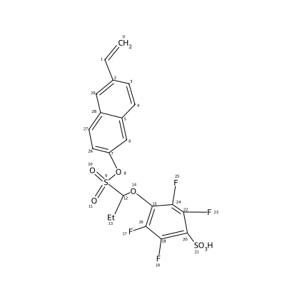 C=Cc1ccc2cc(OS(=O)(=O)C(CC)Oc3c(F)c(F)c(S(=O)(=O)O)c(F)c3F)ccc2c1